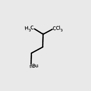 CCCCCC[C](C)C(Cl)(Cl)Cl